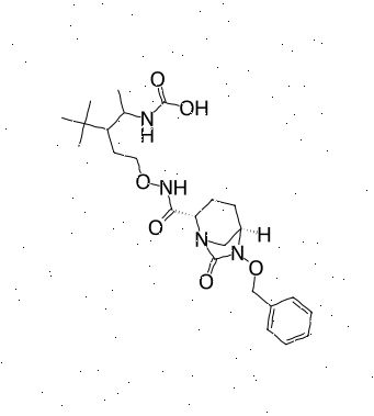 CC(NC(=O)O)C(CCONC(=O)[C@@H]1CC[C@@H]2CN1C(=O)N2OCc1ccccc1)C(C)(C)C